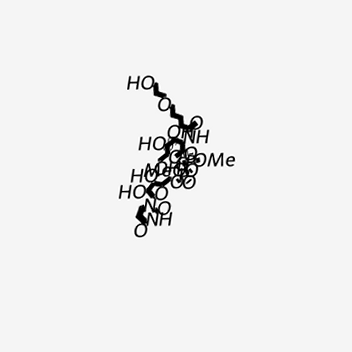 COP(=O)(OCC1OC(n2ccc(=O)[nH]c2=O)C(O)C1O)OP(=O)(OC)O[C@H]1OC(CO)[C@@H](O)[C@H](O)C1NC(=O)CCCCOCCCO